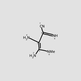 CN/C(N)=C(/N)C(=N)C#N